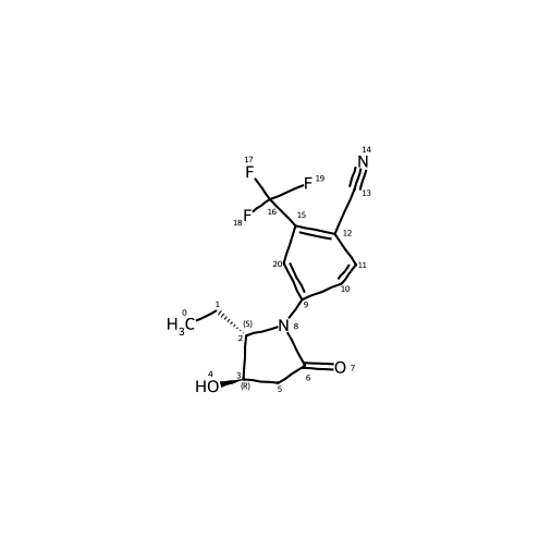 CC[C@H]1[C@H](O)CC(=O)N1c1ccc(C#N)c(C(F)(F)F)c1